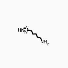 NCCCCCc1nc[nH]n1